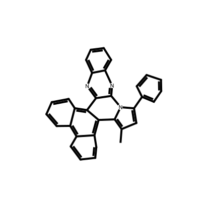 Cc1cc(-c2ccccc2)n2c3nc4ccccc4nc3c3c4ccccc4c4ccccc4c3c12